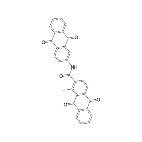 Cc1c(C(=O)Nc2ccc3c(c2)C(=O)c2ccccc2C3=O)ccc2c1C(=O)c1ccccc1C2=O